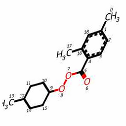 Cc1ccc(C(=O)OO[C]2CCC(C)CC2)c(C)c1